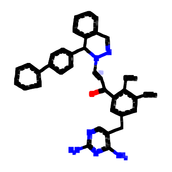 COc1cc(Cc2cnc(N)nc2N)cc(C(=O)/C=C/N2N=Cc3ccccc3C2c2ccc(-c3ccccc3)cc2)c1OC